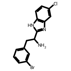 NC(Cc1cccc(Br)c1)c1nc2cc(Cl)ccc2[nH]1